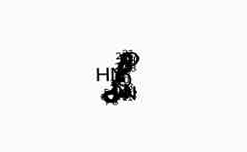 O=C(CC1c2ccccc2-c2cncn21)Nc1ccc2occc2c1